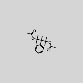 CC(=O)OC(C)(C)C(C)(c1ccccc1)C(C)(C)OC(C)=O